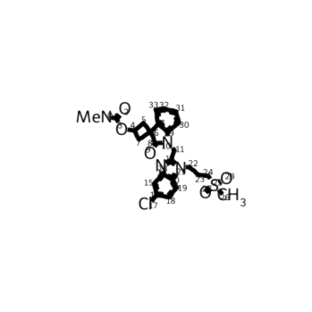 CNC(=O)OC1CC2(C1)C(=O)N(Cc1nc3cc(Cl)ccc3n1CCCS(C)(=O)=O)c1ccccc12